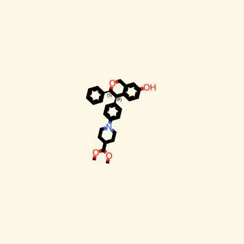 COC(OC)C1CCN(c2ccc([C@@H]3c4ccc(O)cc4CO[C@@H]3c3ccccc3)cc2)CC1